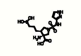 N[C@@]1(C(=O)O)CN(S(=O)(=O)Nc2cc[nH]n2)C[C@@H]1CCCB(O)O